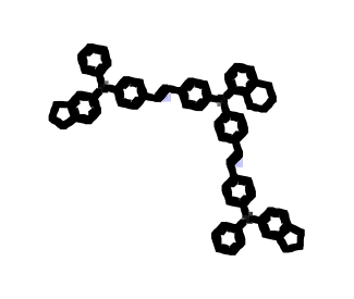 C(=C\c1ccc(N(c2ccc(/C=C/c3ccc(N(c4ccccc4)c4ccc5c(c4)CCC5)cc3)cc2)c2cccc3c2CCCC3)cc1)/c1ccc(N(c2ccccc2)c2ccc3c(c2)CCC3)cc1